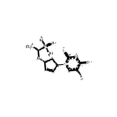 O=C(O)C(O[C@@H]1C=C[C@H](n2cc(F)c(=O)[nH]c2=O)C1)P(=O)(O)O